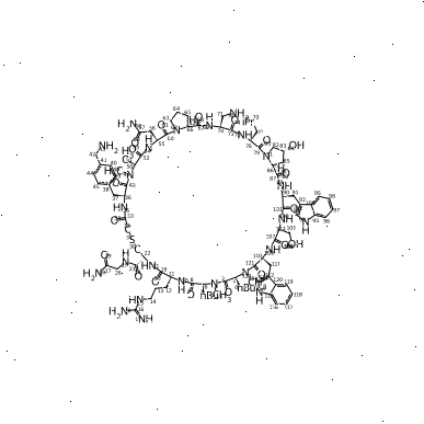 CCCC[C@H]1C(=O)N(C)[C@@H](CCCC)C(=O)N[C@@H](CCCNC(=N)N)C(=O)N[C@H](C(=O)NCC(N)=O)CSCC(=O)N[C@@H](Cc2ccc(CN)cc2)C(=O)N(C)[C@@H](C)C(=O)N[C@@H](CC(N)=O)C(=O)N2CCC[C@H]2C(=O)N[C@@H](CN)C(=O)N[C@@H](CC(C)C)C(=O)N2C[C@H](O)C[C@H]2C(=O)N[C@@H](Cc2c[nH]c3ccccc23)C(=O)N[C@@H](CO)C(=O)N[C@@H](Cc2c[nH]c3ccccc23)C(=O)N1C